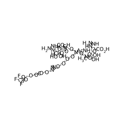 CC(=O)N[C@@H]1[C@@H](NC(=N)N)C=C(C(=O)O)O[C@H]1C(OC(=O)N(C)CCOCCN(CCOCCOCCOCCOCc1cn(CCOCCOCCOCCOCCC(=O)Oc2c(F)c(F)cc(F)c2F)nn1)CCOCCN(C)C(=O)CO[C@@H]([C@@H]1OC(C(=O)O)=C[C@H](NC(=N)N)[C@H]1C)[C@H](O)CO)[C@H](O)CO